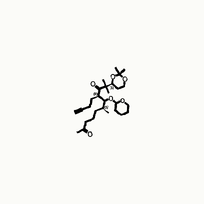 C#CCC[C@@H](C(=O)C(C)(C)[C@@H]1CCOC(C)(C)O1)C(OC1CCCCO1)[C@@H](C)CCCC(C)=O